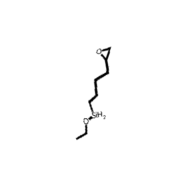 CCO[SiH2]CCCCC1CO1